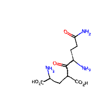 NC(=O)CCC(N)C(=O)C(CC(N)C(=O)O)C(=O)O